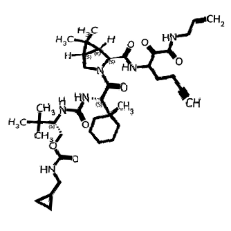 C#CCCC(NC(=O)[C@@H]1[C@@H]2[C@H](CN1C(=O)[C@@H](NC(=O)N[C@H](COC(=O)NCC1CC1)C(C)(C)C)C1(C)CCCCC1)C2(C)C)C(=O)C(=O)NCC=C